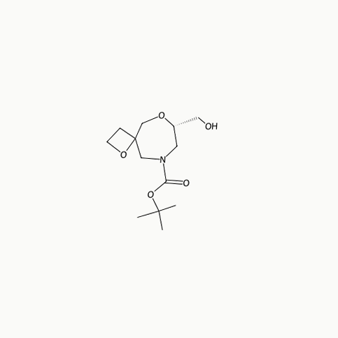 CC(C)(C)OC(=O)N1C[C@@H](CO)OCC2(CCO2)C1